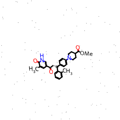 COC(=O)C1CCN(c2ccc([C@@H](CC(=O)c3c[nH]c(=O)c(C)c3)c3ccccc3C)cc2)CC1